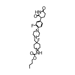 CCCCOC(=O)NN1CCC(F)(CN2CCN(c3ccc(C4CCC(=O)NC4=O)cc3F)CC2)CC1